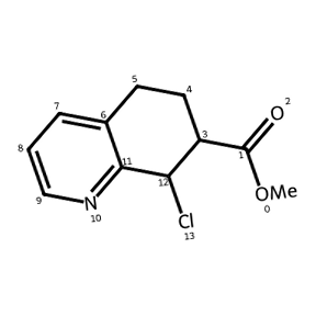 COC(=O)C1CCc2cccnc2C1Cl